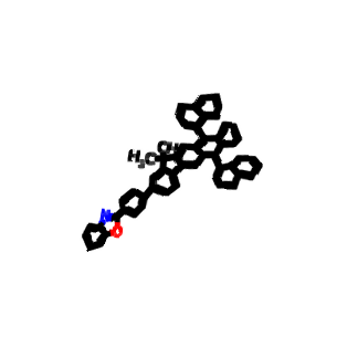 CC1(C)c2cc(-c3ccc(-c4nc5ccccc5o4)cc3)ccc2-c2cc3c(-c4cccc5ccccc45)c4ccccc4c(-c4cccc5ccccc45)c3cc21